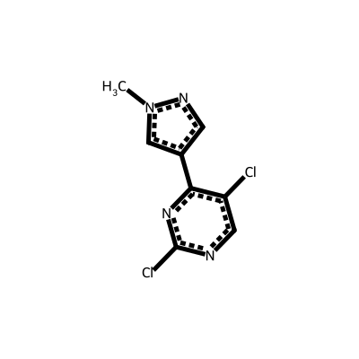 Cn1cc(-c2nc(Cl)ncc2Cl)cn1